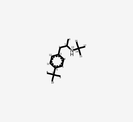 CC(Cc1ccc(C(C)(C)C)cc1)NC(C)(C)C